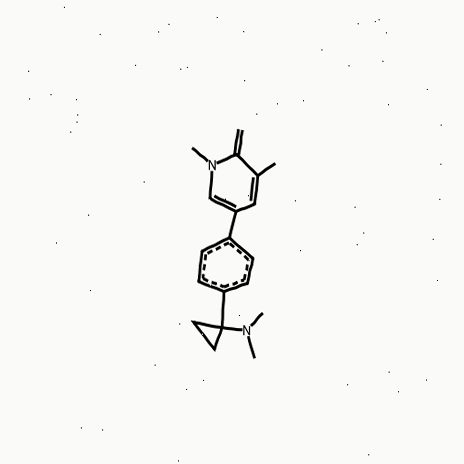 C=C1C(C)=CC(c2ccc(C3(N(C)C)CC3)cc2)=CN1C